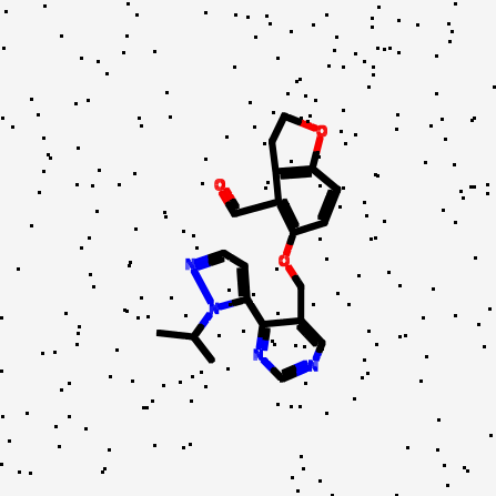 CC(C)n1nccc1-c1ncncc1COc1ccc2c(c1C=O)CCO2